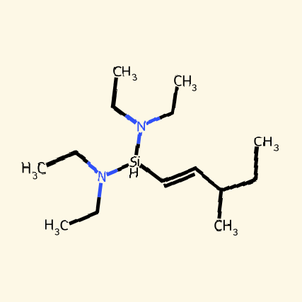 CCC(C)C=C[SiH](N(CC)CC)N(CC)CC